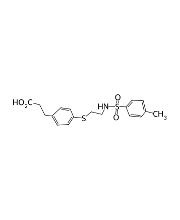 Cc1ccc(S(=O)(=O)NCCSc2ccc(CCC(=O)O)cc2)cc1